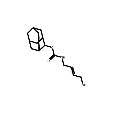 NC/C=C/CNC(=O)OC1C2CC3CC(C2)CC1C3